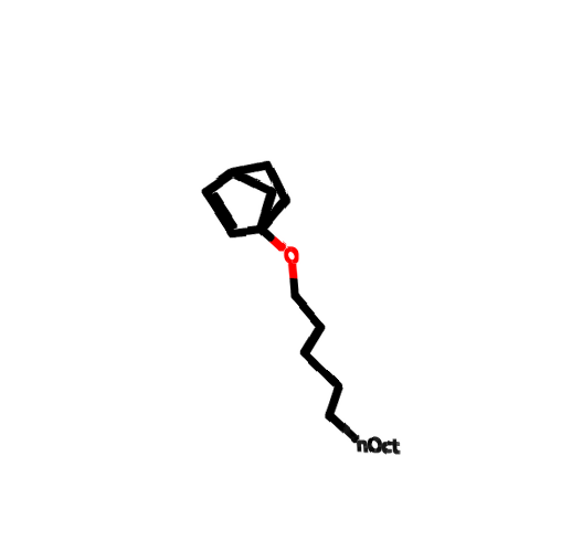 CCCCCCCCCCCCCOC12C=CC(CC1)C2